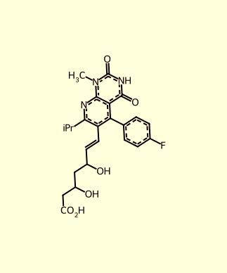 CC(C)c1nc2c(c(-c3ccc(F)cc3)c1/C=C/C(O)CC(O)CC(=O)O)c(=O)[nH]c(=O)n2C